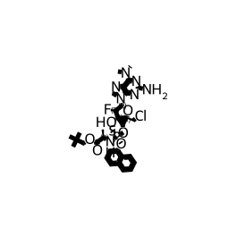 C[C@@H](NP(=S)(Oc1cccc2ccccc12)OC1[C@@]2(CCl)O[C@@H](n3cnc4c(N(C)C)nc(N)nc43)[C@H](F)[C@@]12O)C(=O)OCC(C)(C)C